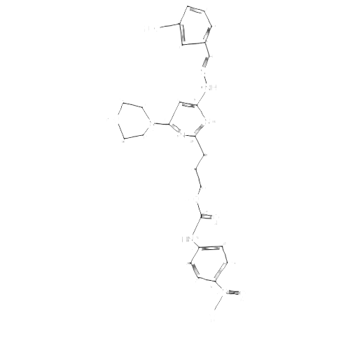 Cc1cccc(C=NNc2cc(N3CCOCC3)nc(CCCOC(=O)Nc3ccc([N+](=O)[O-])cc3)n2)c1